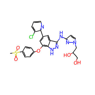 CS(=O)(=O)c1ccc(Oc2cc(-c3ncccc3Cl)cc3c(Nc4ccn(CC(O)CO)n4)n[nH]c23)cc1